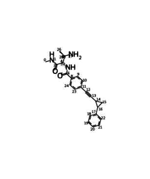 CNC(=O)[C@@H](NC(=O)c1ccc(C#CC2CC2c2ccccc2)cc1)[C@@H](C)N